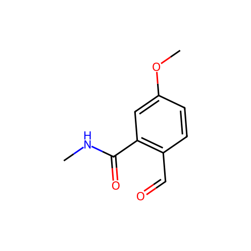 CNC(=O)c1cc(OC)ccc1C=O